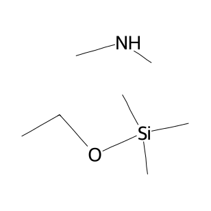 CCO[Si](C)(C)C.CNC